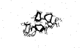 CCN(C)c1nc(Nc2ccc(-n3cnc(Cl)c3)c(OC)c2)nc2c1CCC[C@@H]2c1ccccc1